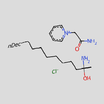 CCCCCCCCCCCCCCCCCCC(C)(N)O.NC(=O)C[n+]1ccccc1.[Cl-]